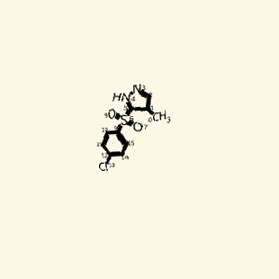 CC1C=NNC1S(=O)(=O)c1ccc(Cl)cc1